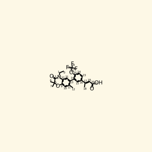 CCN1C(=O)C(C)(C)Oc2cc(C)c(-c3cc(C(C)=CC(=O)O)ccc3OC(F)(F)F)cc21